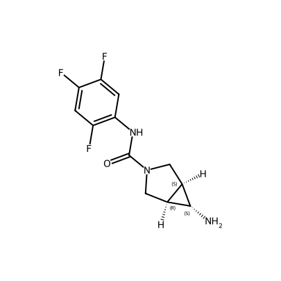 N[C@@H]1[C@H]2CN(C(=O)Nc3cc(F)c(F)cc3F)C[C@@H]12